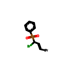 CC(C)C=CC(Br)S(=O)(=O)c1ccccc1